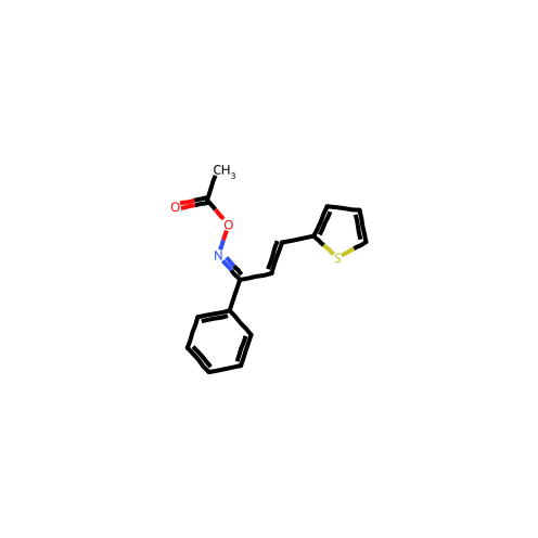 CC(=O)ON=C(C=Cc1cccs1)c1ccccc1